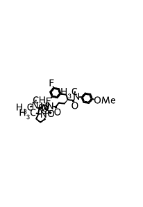 COc1ccc(N(C)C(=O)[C@@H](CCC(=O)NS(=O)(=O)N2CCCC2(C)C(=O)N(C)C)Cc2cc(F)cc(F)c2)cc1